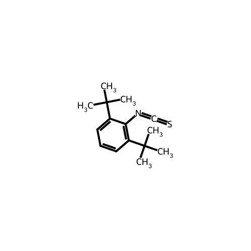 CC(C)(C)c1cccc(C(C)(C)C)c1N=C=S